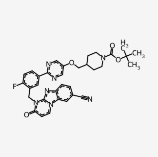 CC(C)(C)OC(=O)N1CCC(COc2cnc(-c3ccc(F)c(Cn4c(=O)ccn5c6cc(C#N)ccc6nc45)c3)nc2)CC1